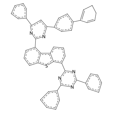 C1=CC(c2ccc(-c3cc(-c4ccccc4)nc(-c4cccc5sc6c(-c7nc(-c8ccccc8)nc(-c8ccccc8)n7)cccc6c45)n3)cc2)=CCC1